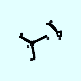 CN(C)C.[CH2]Cl